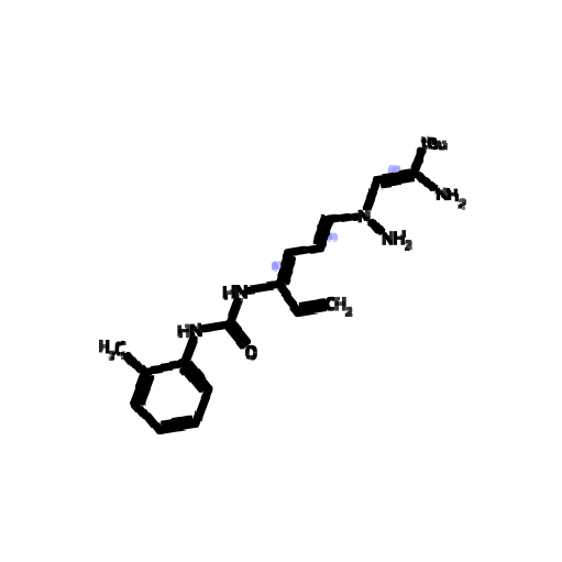 C=C/C(=C\C=C\N(N)/C=C(\N)C(C)(C)C)NC(=O)Nc1ccccc1C